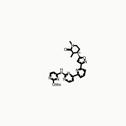 COc1nccc(Nc2nccc(-c3cccc(-c4cc([C@@H]5CCN(C)C(=O)C5C)on4)n3)n2)n1